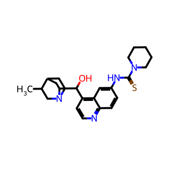 CC1CN2CCC1CC2C(O)c1ccnc2ccc(NC(=S)N3CCCCC3)cc12